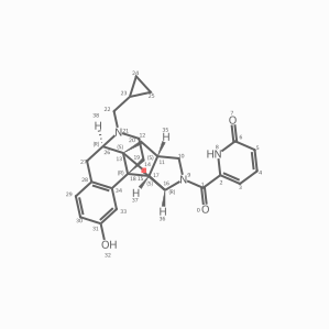 O=C(c1cccc(=O)[nH]1)N1C[C@H]2C[C@@]34CC[C@@H]1[C@@H]2[C@@]31CCN(CC2CC2)[C@@H]4Cc2ccc(O)cc21